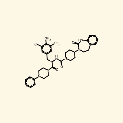 Nc1c(Cl)cc(C[C@@H](NC(=O)N2CCC(N3CCc4ccccc4NC3=O)CC2)C(=O)N2CCN(c3ccncc3)CC2)cc1C(F)(F)F